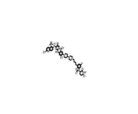 CCOc1cc(N2CCC(N3CCN(CCCCc4cc(F)cc5c4oc(=O)n5C4CCC(=O)NC4=O)CC3)CC2)c(CC)cc1Nc1ncc(Br)c(Nc2ccc3nc(CC)ccc3c2P(C)(C)=O)n1